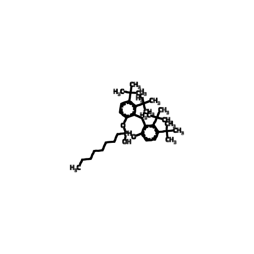 CCCCCCCC[PH]1(O)Oc2ccc(C(C)(C)C)c(C(C)(C)C)c2Cc2c(ccc(C(C)(C)C)c2C(C)(C)C)O1